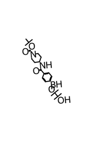 CC(C)(C)OC(=O)N1CCC(NC(=O)c2ccc(BOC(C)(C)C(C)(C)O)cc2)CC1